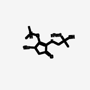 CCCCCC(C)(O)CSC1=C(O[SiH](C)C)C(C(C)(C)C)CC1=O